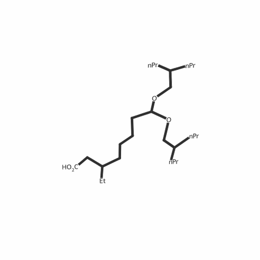 CCCC(CCC)COC(CCCCC(CC)CC(=O)O)OCC(CCC)CCC